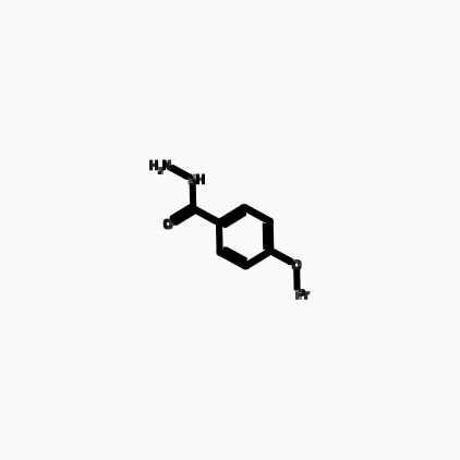 CC(C)Oc1ccc(C(=O)NN)cc1